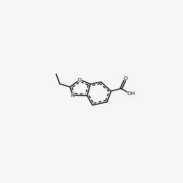 CCc1nc2ccc(C(=O)O)cc2o1